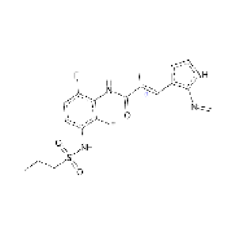 C=Nc1[nH]ccc1/C=C(\C)C(=O)Nc1c(F)ccc(NS(=O)(=O)CCC)c1F